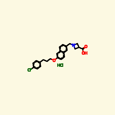 Cl.O=C(O)C1CN(Cc2ccc3cc(OCCCc4ccc(Cl)cc4)ccc3c2)C1